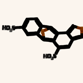 O=S(=O)(O)c1ccc2c(c1)c1sc2c2c3[c]s[c]c3cc(S(=O)(=O)O)c12